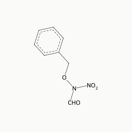 O=CN(OCc1ccccc1)[N+](=O)[O-]